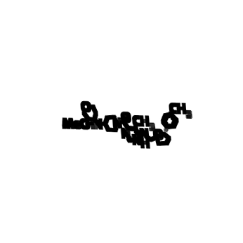 CO[C@H]1COCC[C@H]1NC1CCN(C(=O)c2ncnc(NCC3CCC[C@@H](c4ccc(C)cc4)O3)c2C)CC1